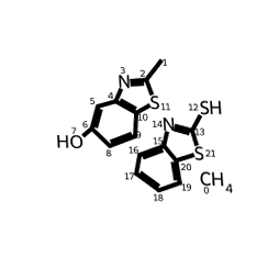 C.Cc1nc2cc(O)ccc2s1.Sc1nc2ccccc2s1